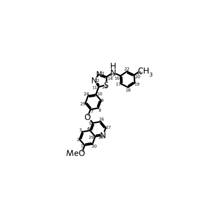 COc1ccc2c(Oc3ccc(-c4nnc(Nc5cccc(C)c5)s4)cc3)ccnc2c1